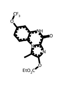 CCOC(=O)Oc1nc2c(=O)[nH]c3cc(OC(F)(F)F)ccc3n2c1C